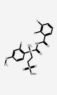 CNS(=O)(=O)CC[N+](C)(C(=O)NC(=O)c1cccc(F)c1F)c1ccc(SC(F)(F)F)cc1F